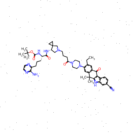 CCc1cc2c(cc1N1CCN(C(=O)CCCN3C[C@H](NC(=O)[C@H](CCCc4nccnc4N)NC(=O)OC(C)(C)C)C4(CC4)C3)CC1)C(C)(C)c1[nH]c3cc(C#N)ccc3c1C2=O